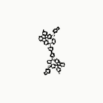 Cc1ccc(C2(c3ccc(Sc4ccc5c(c4)CC5)cc3)c3ccccc3-c3ccc(N(c4ccccc4)c4ccc(-c5ccc(N(c6ccccc6)c6ccc7c(c6)C(c6ccc(C)cc6)(c6ccc(Sc8ccc9c(c8)CC9)cc6)c6ccccc6-7)cc5)cc4)cc32)cc1